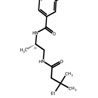 CCC(C)(C)CC(=O)NC[C@H](C)NC(=O)c1cccc(F)c1